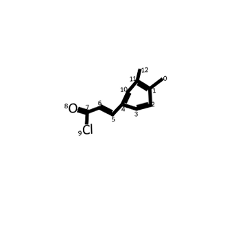 Cc1ccc(/C=C/C(=O)Cl)cc1C